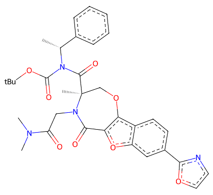 C[C@H](c1ccccc1)N(C(=O)OC(C)(C)C)C(=O)[C@@]1(C)COc2c(oc3cc(-c4ncco4)ccc23)C(=O)N1CC(=O)N(C)C